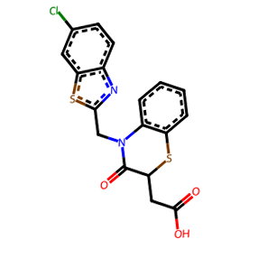 O=C(O)CC1Sc2ccccc2N(Cc2nc3ccc(Cl)cc3s2)C1=O